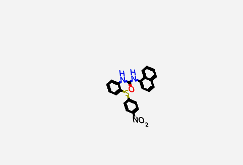 O=C(Nc1ccccc1Sc1ccc([N+](=O)[O-])cc1)Nc1cccc2ccccc12